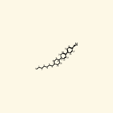 CCCCCCCC1CCC(C2C=CC(c3ccc(C#N)cc3)=CC2)CC1